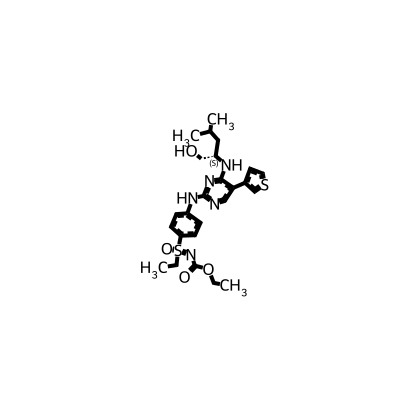 CCOC(=O)N=S(=O)(CC)c1ccc(Nc2ncc(-c3ccsc3)c(N[C@H](CO)CC(C)C)n2)cc1